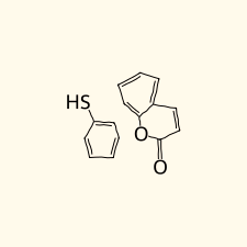 O=c1ccc2ccccc2o1.Sc1ccccc1